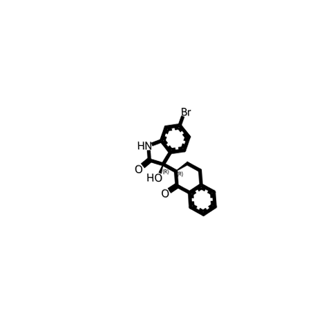 O=C1c2ccccc2CC[C@@H]1[C@]1(O)C(=O)Nc2cc(Br)ccc21